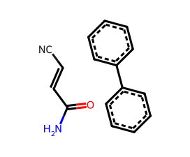 N#CC=CC(N)=O.c1ccc(-c2ccccc2)cc1